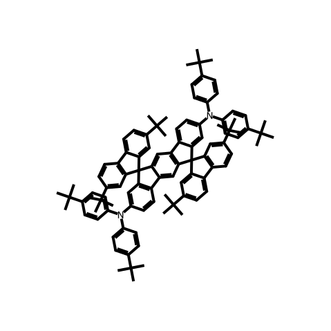 CC(C)(C)c1ccc(N(c2ccc(C(C)(C)C)cc2)c2ccc3c(c2)C2(c4cc(C(C)(C)C)ccc4-c4ccc(C(C)(C)C)cc42)c2cc4c(cc2-3)C2(c3cc(N(c5ccc(C(C)(C)C)cc5)c5ccc(C(C)(C)C)cc5)ccc3-4)c3cc(C(C)(C)C)ccc3-c3ccc(C(C)(C)C)cc32)cc1